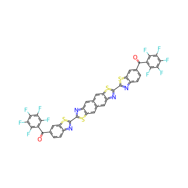 O=C(c1ccc2nc(-c3nc4cc5cc6sc(-c7nc8ccc(C(=O)c9c(F)c(F)c(F)c(F)c9F)cc8s7)nc6cc5cc4s3)sc2c1)c1c(F)c(F)c(F)c(F)c1F